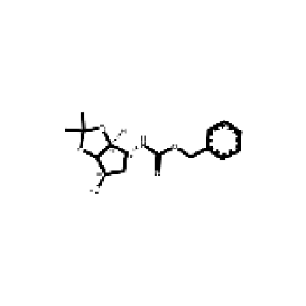 CC1(C)OC2[C@H](O)C[C@@H](NC(=O)OCc3ccccc3)[C@@H]2O1